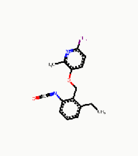 CCc1cccc(N=C=O)c1COc1ccc(P)nc1C